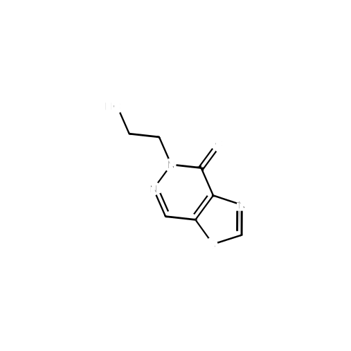 O=c1c2n[c]sc2cnn1CCO